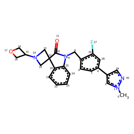 Cn1cc(-c2ccc(CN3C(=O)C4(CN(C5COC5)C4)c4ccccc43)c(F)c2)cn1